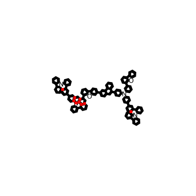 C1=CC2c3ccccc3N(c3ccccc3-c3cccc(-c4ccc(N(c5cccc(-c6cccc7c6oc6cc(-c8ccc9cc(C%10=CCC(N(c%11ccc(-c%12cccc(-c%13ccccc%13-n%13c%14ccccc%14c%14ccccc%14%13)c%12)cc%11)c%11cccc(-c%12cccc%13c%12oc%12ccccc%12%13)c%11)C=C%10)c%10ccccc%10c9c8)ccc67)c5)c5ccccc5-c5ccccc5-c5ccccc5)cc4)c3)C2C=C1